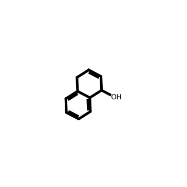 OC1C=[C]Cc2ccccc21